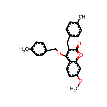 COc1ccc2c(OCc3ccc(C)cc3)c(Cc3ccc(C)cc3)c(=O)oc2c1